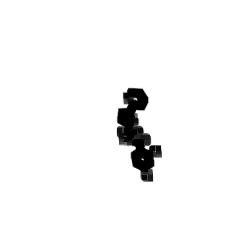 O=C(NS(=O)(=O)c1ccc(-c2ccccn2)s1)c1ccc(Cl)cc1Cl